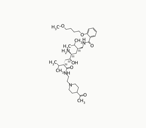 COCCCCOc1ccccc1C(=O)NC[C@@H](C[C@H](N)[C@@H](O)C[C@H](C(=O)NCCN1CCC(C(C)=O)CC1)C(C)C)C(C)C